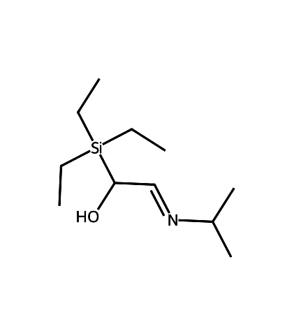 CC[Si](CC)(CC)C(O)C=NC(C)C